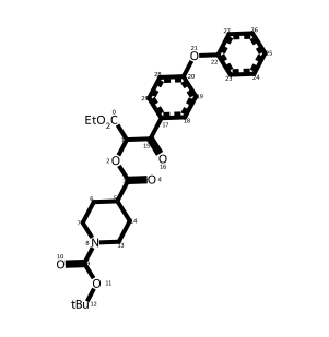 CCOC(=O)C(OC(=O)C1CCN(C(=O)OC(C)(C)C)CC1)C(=O)c1ccc(Oc2ccccc2)cc1